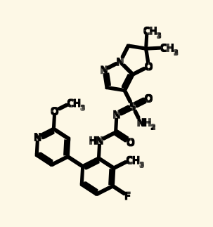 COc1cc(-c2ccc(F)c(C)c2NC(=O)N=S(N)(=O)c2cnn3c2OC(C)(C)C3)ccn1